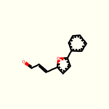 O=CC=Cc1ccc(-c2ccccc2)o1